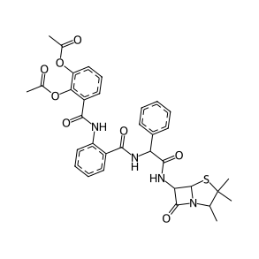 CC(=O)Oc1cccc(C(=O)Nc2ccccc2C(=O)NC(C(=O)NC2C(=O)N3C2SC(C)(C)C3C)c2ccccc2)c1OC(C)=O